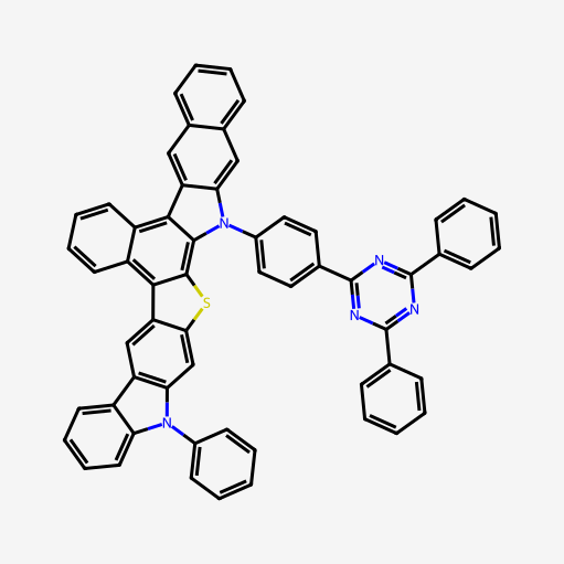 c1ccc(-c2nc(-c3ccccc3)nc(-c3ccc(-n4c5cc6ccccc6cc5c5c6ccccc6c6c7cc8c9ccccc9n(-c9ccccc9)c8cc7sc6c54)cc3)n2)cc1